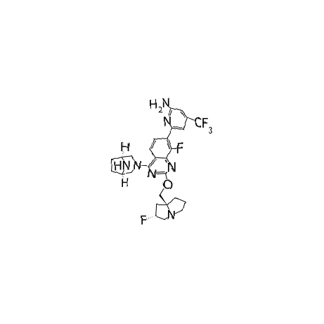 Nc1cc(C(F)(F)F)cc(-c2ccc3c(N4C[C@H]5CC[C@@H](C4)N5)nc(OC[C@@]45CCCN4C[C@H](F)C5)nc3c2F)n1